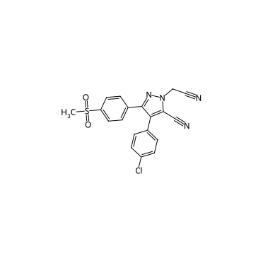 CS(=O)(=O)c1ccc(-c2nn(CC#N)c(C#N)c2-c2ccc(Cl)cc2)cc1